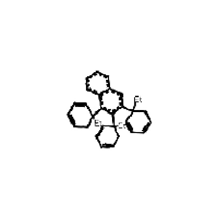 CCC1(c2cc3ccccc3c(C3(CC)C=CC=CC3)c2C2(CC)C=CC=CC2)C=CC=CC1